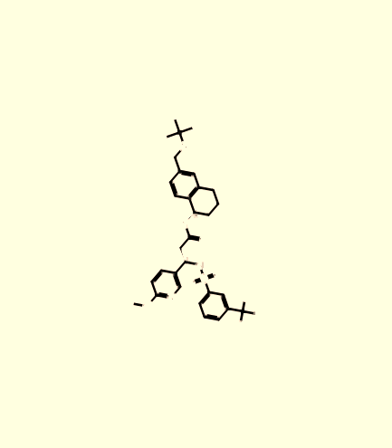 COc1ccc([C@@H](CC(=O)N[C@@H]2CCCc3cc(CNC(C)(C)C)ccc32)NS(=O)(=O)c2cccc(C(F)(F)F)c2)cn1